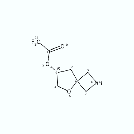 O=C(O[C@H]1COC2(CNC2)C1)C(F)(F)F